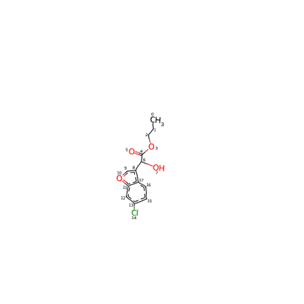 CCCOC(=O)C(O)c1coc2cc(Cl)ccc12